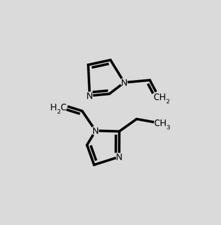 C=Cn1ccnc1.C=Cn1ccnc1CC